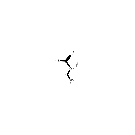 CC(C)COC(=S)[S-].[Li+]